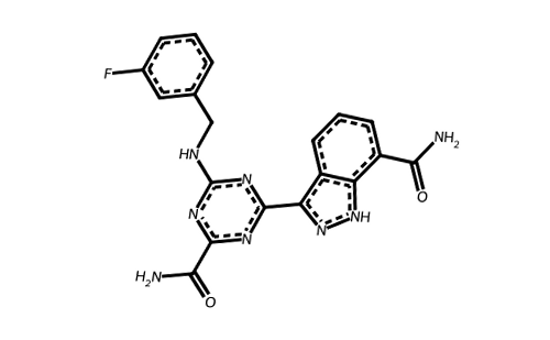 NC(=O)c1nc(NCc2cccc(F)c2)nc(-c2n[nH]c3c(C(N)=O)cccc23)n1